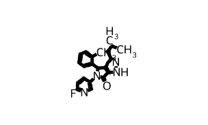 Cc1ccccc1C1c2c(CC(C)C)n[nH]c2C(=O)N1c1ccc(F)nc1